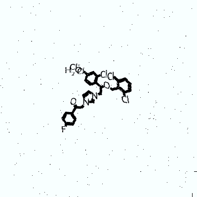 O.O=C(Cn1cc[n+](CC(OCc2c(Cl)cccc2Cl)c2ccc(Cl)cc2Cl)c1)c1ccc(F)cc1.[Cl-]